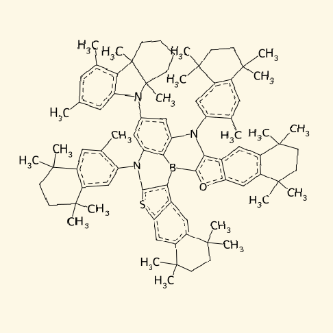 Cc1cc(C)c2c(c1)N(c1cc3c4c(c1)N(c1cc5c(cc1C)C(C)(C)CCC5(C)C)c1c(oc5cc6c(cc15)C(C)(C)CCC6(C)C)B4c1c(sc4cc5c(cc14)C(C)(C)CCC5(C)C)N3c1cc3c(cc1C)C(C)(C)CCC3(C)C)C1(C)CCCCC21C